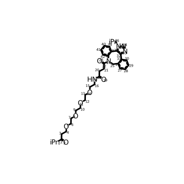 CC(C)C(=O)CCOCCOCCOCCOCCNC(=O)CCC(=O)N1Cc2ccccc2-c2nnn(C(C)C)c2-c2ccccc21